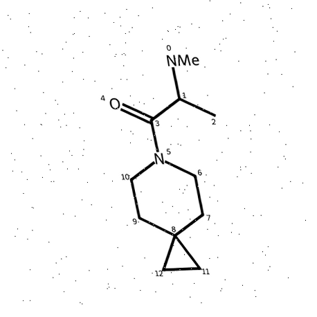 CNC(C)C(=O)N1CCC2(CC1)CC2